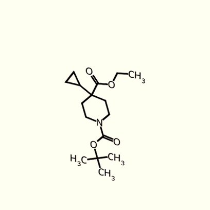 CCOC(=O)C1(C2CC2)CCN(C(=O)OC(C)(C)C)CC1